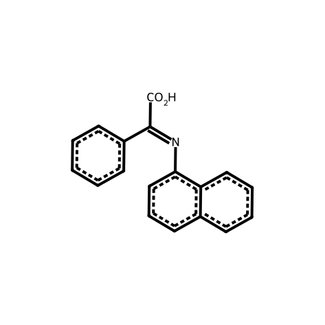 O=C(O)C(=Nc1cccc2ccccc12)c1ccccc1